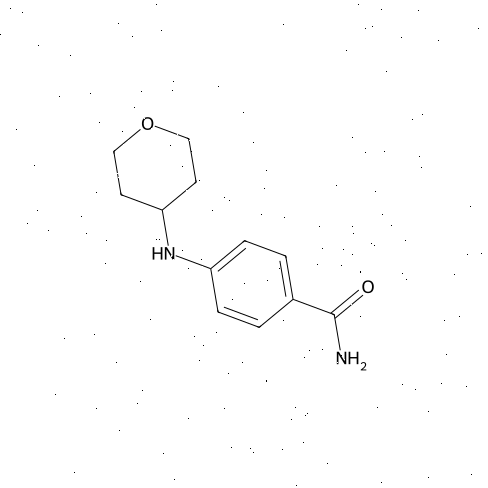 NC(=O)c1ccc(NC2CCOCC2)cc1